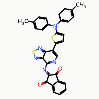 CC1=CC=C(N(c2ccc(C)cc2)c2ccc(-c3cnc(N=c4c(=O)c5ccccc5c4=O)c4nsnc34)s2)CC1